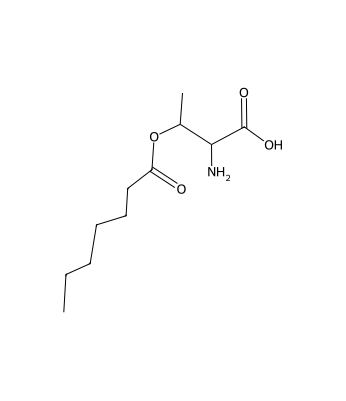 CCCCCCC(=O)OC(C)C(N)C(=O)O